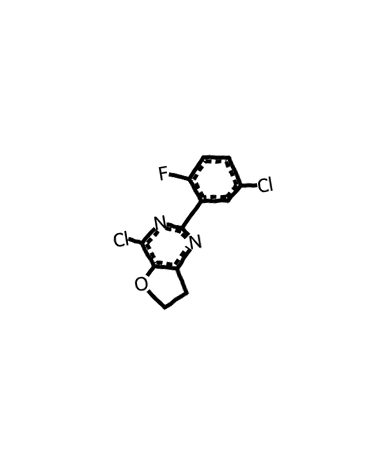 Fc1ccc(Cl)cc1-c1nc(Cl)c2c(n1)CCO2